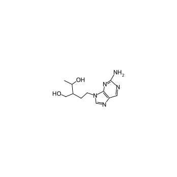 CC(O)C(CO)CCn1cnc2cnc(N)nc21